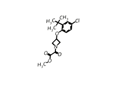 COC(=O)C(=O)N1CC(Oc2ccc(Cl)cc2C(C)(C)C)C1